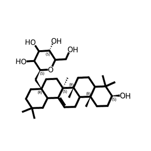 CC1(C)CC[C@]2(C[C@@H]3OC(CO)[C@@H](O)C(O)C3O)CC[C@]3(C)C(=CCC4[C@@]5(C)CC[C@H](O)C(C)(C)C5CC[C@]43C)C2C1